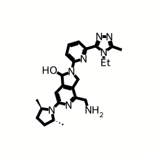 CCn1c(C)nnc1-c1cccc(N2Cc3c(cc(N4[C@H](C)CC[C@H]4C)nc3CN)C2O)n1